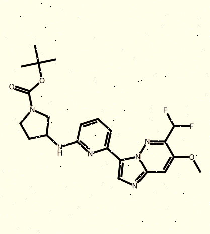 COc1cc2ncc(-c3cccc(NC4CCN(C(=O)OC(C)(C)C)C4)n3)n2nc1C(F)F